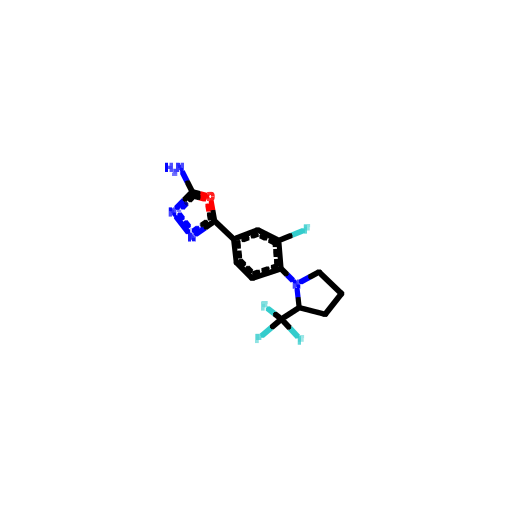 Nc1nnc(-c2ccc(N3CCCC3C(F)(F)F)c(F)c2)o1